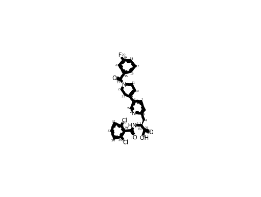 O=C(N[C@@H](Cc1ccc(C2=CCN(C(=O)c3cccc(F)c3)CC2)cn1)C(=O)O)c1c(Cl)cccc1Cl